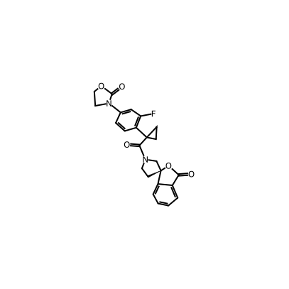 O=C1O[C@]2(CCN(C(=O)C3(c4ccc(N5CCOC5=O)cc4F)CC3)C2)c2ccccc21